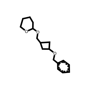 c1ccc(COC2CC(COC3CCCCO3)C2)cc1